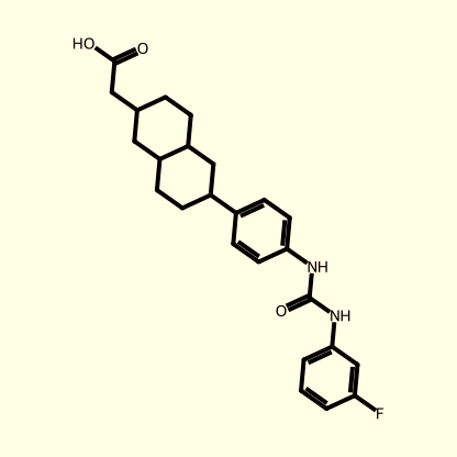 O=C(O)CC1CCC2CC(c3ccc(NC(=O)Nc4cccc(F)c4)cc3)CCC2C1